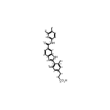 Cc1ccc(NC(=O)c2ccc3nc(-c4c(C)cc(CCC(=O)O)cc4C)[nH]c3c2)nc1C